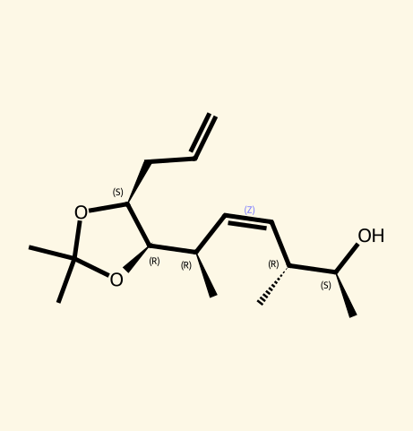 C=CC[C@@H]1OC(C)(C)O[C@@H]1[C@H](C)/C=C\[C@@H](C)[C@H](C)O